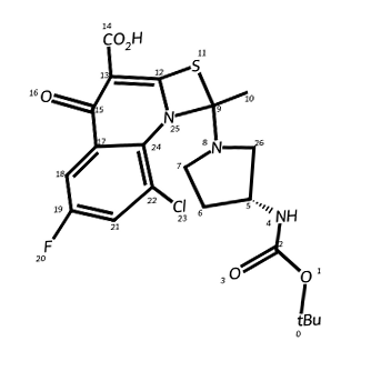 CC(C)(C)OC(=O)N[C@@H]1CCN(C2(C)Sc3c(C(=O)O)c(=O)c4cc(F)cc(Cl)c4n32)C1